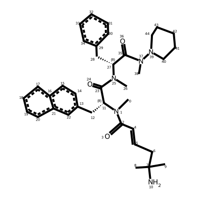 CN(C(=O)C=CCC(C)(C)N)[C@H](Cc1ccc2ccccc2c1)C(=O)N(C)[C@H](Cc1ccccc1)C(=O)N(C)N1CCCCC1